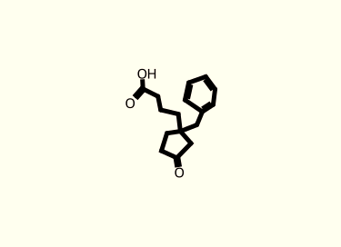 O=C(O)CCCC1(Cc2ccccc2)CCC(=O)C1